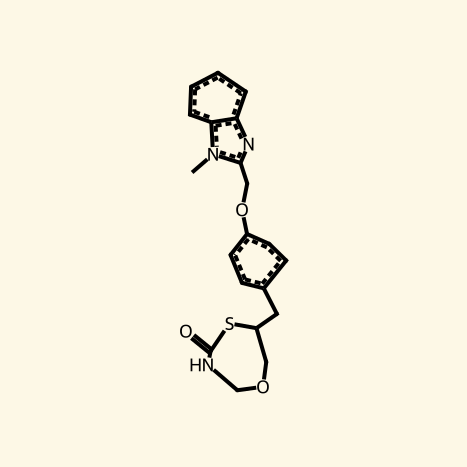 Cn1c(COc2ccc(CC3COCNC(=O)S3)cc2)nc2ccccc21